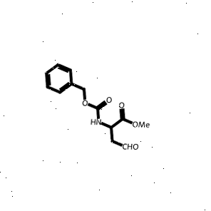 COC(=O)C(CC=O)NC(=O)OCc1ccccc1